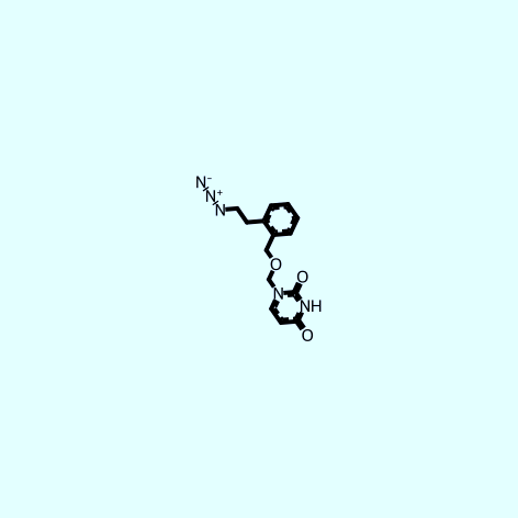 [N-]=[N+]=NCCc1ccccc1COCn1ccc(=O)[nH]c1=O